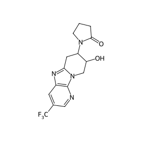 O=C1CCCN1C1Cc2nc3cc(C(F)(F)F)cnc3n2CC1O